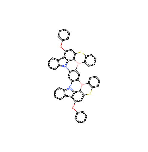 c1ccc(Oc2cc3c4c5c2c2ccccc2n5-c2cc5c(cc2B4c2ccccc2S3)B2c3ccccc3Sc3cc(Oc4ccccc4)c4c6ccccc6n-5c4c32)cc1